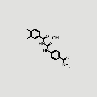 Cc1ccc(C(=O)NC(=S)Nc2ccc(C(N)=O)cc2)cc1C.Cl